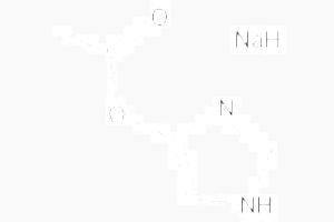 CC(=O)Oc1c[nH]cn1.[NaH]